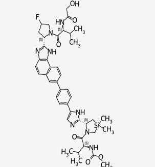 COC(=O)N[C@H](C(=O)N1C[Si](C)(C)C[C@H]1c1ncc(-c2ccc(-c3ccc4c(ccc5nc([C@@H]6CC(F)CN6C(=O)[C@@H](NC(=O)CO)C(C)C)[nH]c54)c3)cc2)[nH]1)C(C)C